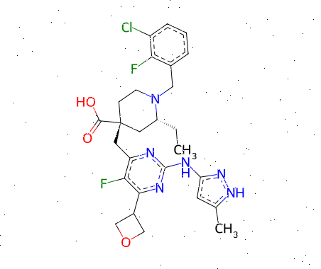 CC[C@@H]1C[C@](Cc2nc(Nc3cc(C)[nH]n3)nc(C3COC3)c2F)(C(=O)O)CCN1Cc1cccc(Cl)c1F